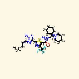 C=C/C=C\N=C(/N)c1nc(C(F)(F)F)c(C(=O)NCC2(N3CCCCC3)CCCCC2)s1